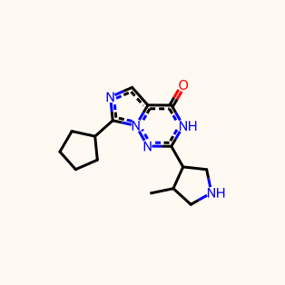 CC1CNCC1c1nn2c(C3CCCC3)ncc2c(=O)[nH]1